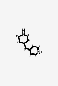 [CH](c1ccncc1)C1CCNCC1